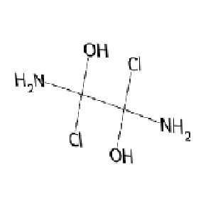 NC(O)(Cl)C(N)(O)Cl